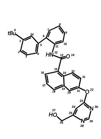 CC(C)(C)c1cccc(-c2ccccc2NC(=O)c2cccc3cc(Oc4cc(CO)ncn4)ccc23)c1